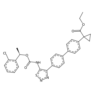 CCOC(=O)C1(c2ccc(-c3ccc(-c4nnsc4NC(=O)O[C@H](C)c4ccccc4Cl)cc3)cc2)CC1